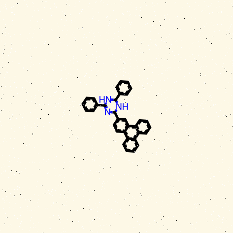 c1ccc(C2=NC(c3ccc4c5ccccc5c5ccccc5c4c3)NC(c3ccccc3)N2)cc1